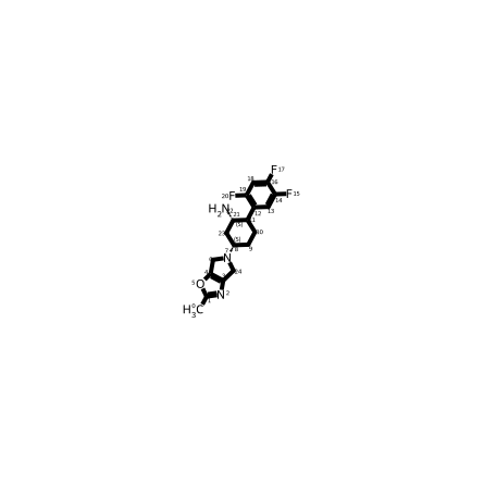 Cc1nc2c(o1)CN([C@H]1CCC(c3cc(F)c(F)cc3F)[C@@H](N)C1)C2